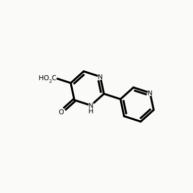 O=C(O)c1cnc(-c2cccnc2)[nH]c1=O